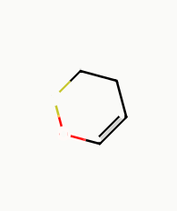 [C]1CC=COS1